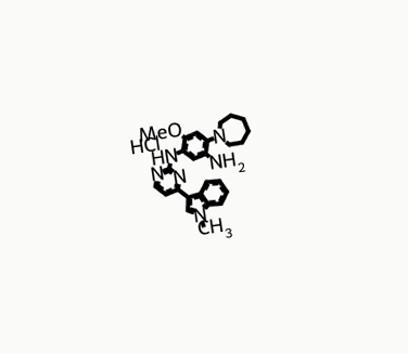 COc1cc(N2CCCCCC2)c(N)cc1Nc1nccc(-c2cn(C)c3ccccc23)n1.Cl